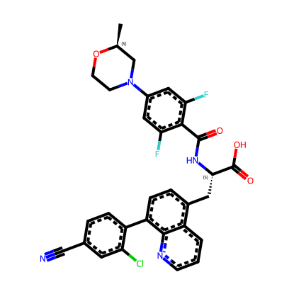 C[C@H]1CN(c2cc(F)c(C(=O)N[C@@H](Cc3ccc(-c4ccc(C#N)cc4Cl)c4ncccc34)C(=O)O)c(F)c2)CCO1